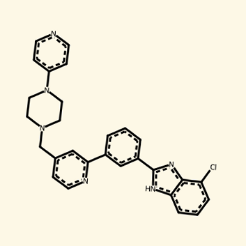 Clc1cccc2[nH]c(-c3cccc(-c4cc(CN5CCN(c6ccncc6)CC5)ccn4)c3)nc12